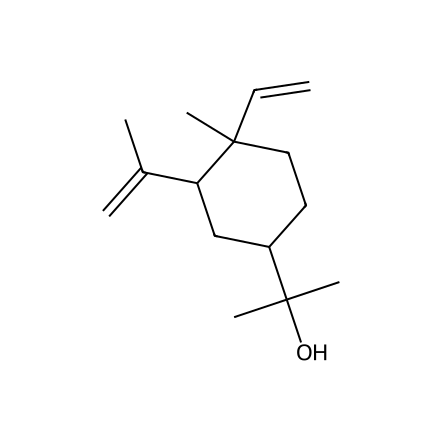 C=CC1(C)CCC(C(C)(C)O)CC1C(=C)C